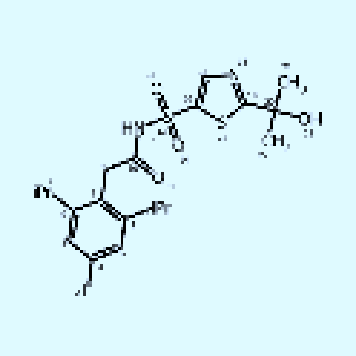 CC(C)c1cc(F)cc(C(C)C)c1CC(=O)NS(=O)(=O)c1cnc(C(C)(C)O)s1